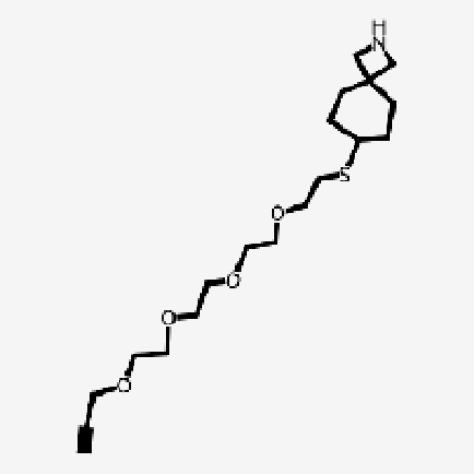 C#CCOCCOCCOCCOCCSC1CCC2(CC1)CNC2